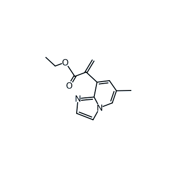 C=C(C(=O)OCC)c1cc(C)cn2ccnc12